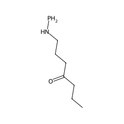 CCCC(=O)CCCNP